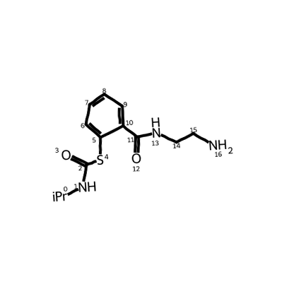 CC(C)NC(=O)Sc1ccccc1C(=O)NCCN